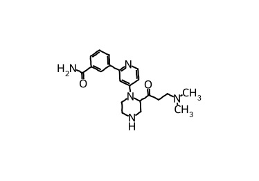 CN(C)CCC(=O)C1CNCCN1c1ccnc(-c2cccc(C(N)=O)c2)c1